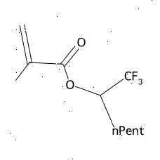 C=C(C)C(=O)OC(CCCCC)C(F)(F)F